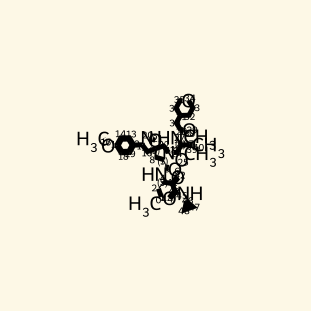 CCC[C@H](NC(=O)[C@@H]1C[C@]2(CC(c3ccc(OC)cc3)=NO2)CN1C(=O)[C@@H](NC(=O)CC1CCOCC1)C(C)(C)C)C(=O)C(=O)NC1CC1